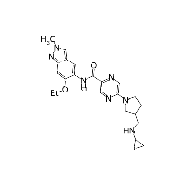 CCOc1cc2nn(C)cc2cc1NC(=O)c1cnc(N2CCC(CNC3CC3)C2)cn1